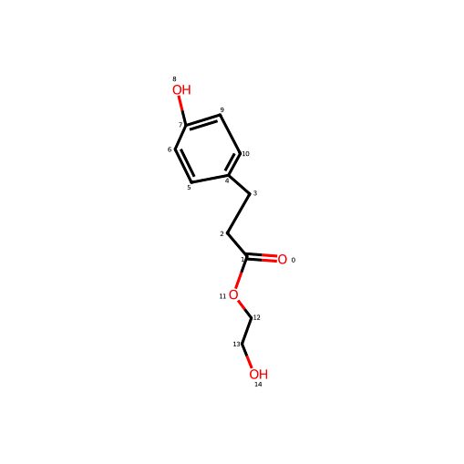 O=C(CCc1ccc(O)cc1)OCCO